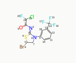 O=C(N=C1SC(Br)CN1c1cccc(C(F)(F)F)c1)C(F)Cl